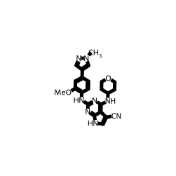 COc1cc(-c2cnn(C)c2)ccc1Nc1nc(NC2CCOCC2)c2c(C#N)c[nH]c2n1